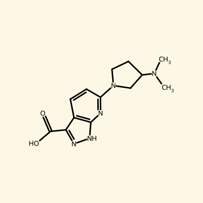 CN(C)C1CCN(c2ccc3c(C(=O)O)n[nH]c3n2)C1